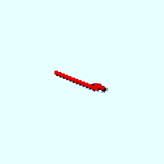 CCCCCCCCCCCCCCCCCCCCCCc1ccc(OCCC(C)C)nc1